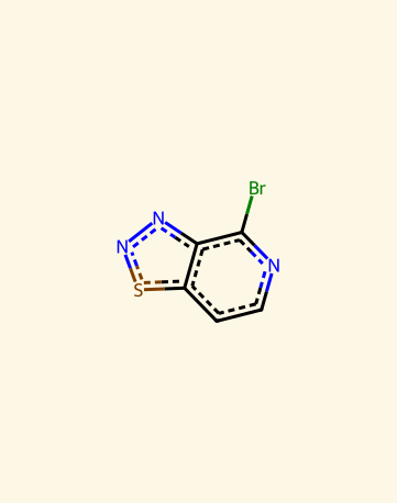 Brc1nccc2snnc12